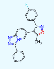 Cc1onc(-c2ccc(F)cc2)c1-c1ccc2nnc(-c3ccccc3)n2c1